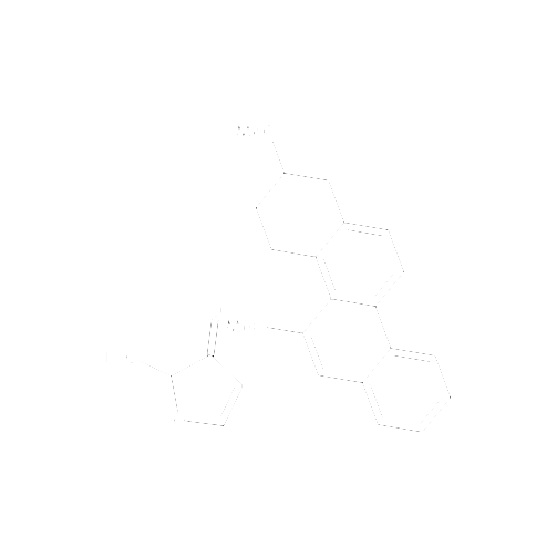 CC1OC=CC1=O.COc1cc2ccccc2c2ccc3c(c12)CCC(OC)C3